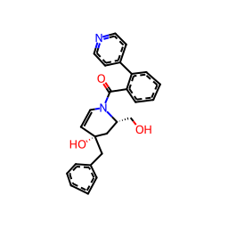 O=C(c1ccccc1-c1ccncc1)N1C=C[C@](O)(Cc2ccccc2)C[C@H]1CO